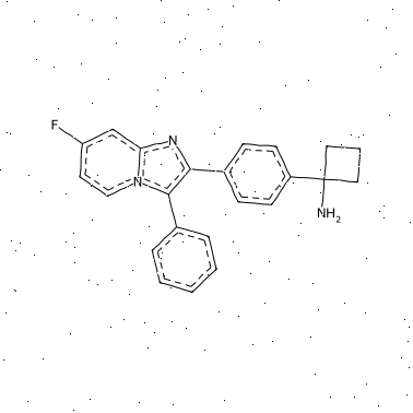 NC1(c2ccc(-c3nc4cc(F)ccn4c3-c3ccccc3)cc2)CCC1